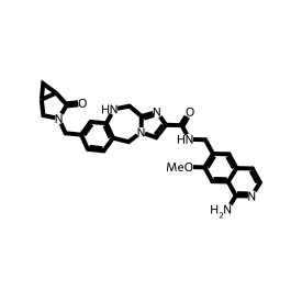 COc1cc2c(N)nccc2cc1CNC(=O)c1cn2c(n1)CNc1cc(CN3CC4CC4C3=O)ccc1C2